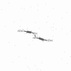 CCCCCCCCCCC#CPPC#CCCCCCCCCCC